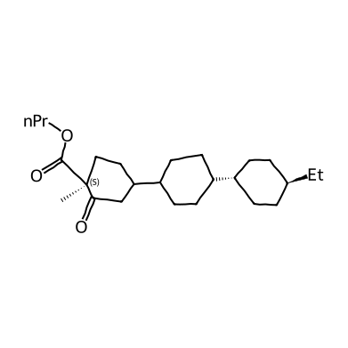 CCCOC(=O)[C@@]1(C)CCC(C2CCC([C@H]3CC[C@H](CC)CC3)CC2)CC1=O